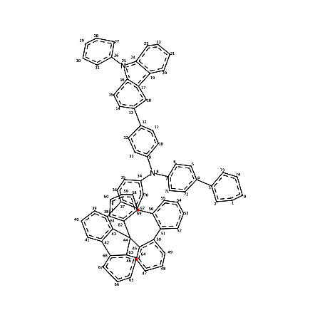 c1ccc(-c2ccc(N(c3ccc(-c4ccc5c(c4)c4ccccc4n5-c4ccccc4)cc3)c3ccc(-c4cccc5c4C4(c6ccccc6-c6ccccc6-c6ccccc64)c4ccccc4-5)cc3)cc2)cc1